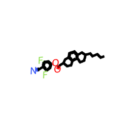 CCCCCC1CCc2c(ccc3c2CCC(C(=O)Oc2cc(F)c(C#N)c(F)c2)C3)C1